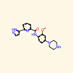 COc1cc(N2CCNCC2)ccc1NC(=O)c1cccc(-c2ccn[nH]2)n1